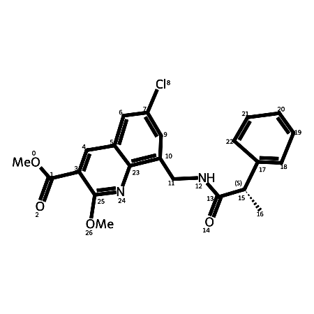 COC(=O)c1cc2cc(Cl)cc(CNC(=O)[C@@H](C)c3ccccc3)c2nc1OC